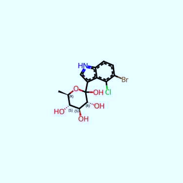 C[C@H]1OC(O)(c2c[nH]c3ccc(Br)c(Cl)c23)[C@H](O)[C@@H](O)[C@@H]1O